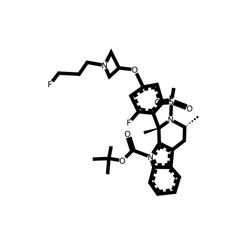 C[C@@H]1Cc2c(n(C(=O)OC(C)(C)C)c3ccccc23)[C@](C)(c2c(F)cc(OC3CN(CCCF)C3)cc2F)N1S(C)(=O)=O